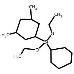 CCO[Si](OCC)(C1CCCCC1)C1CC(C)CC(C)C1